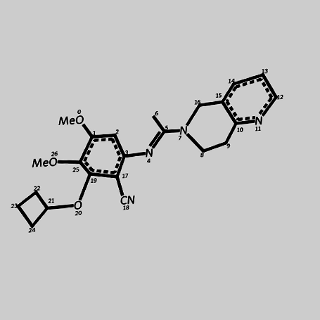 COc1cc(N=C(C)N2CCc3ncccc3C2)c(C#N)c(OC2CCC2)c1OC